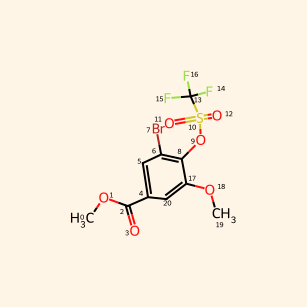 COC(=O)c1cc(Br)c(OS(=O)(=O)C(F)(F)F)c(OC)c1